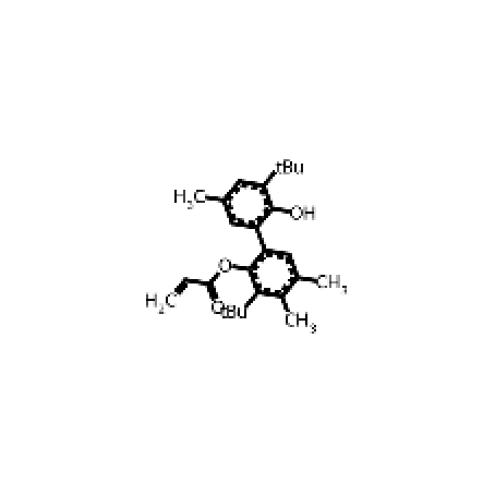 C=CC(=O)Oc1c(-c2cc(C)cc(C(C)(C)C)c2O)cc(C)c(C)c1C(C)(C)C